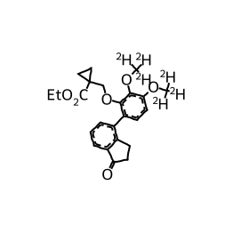 [2H]C([2H])([2H])Oc1ccc(-c2cccc3c2CCC3=O)c(OCC2(C(=O)OCC)CC2)c1OC([2H])([2H])[2H]